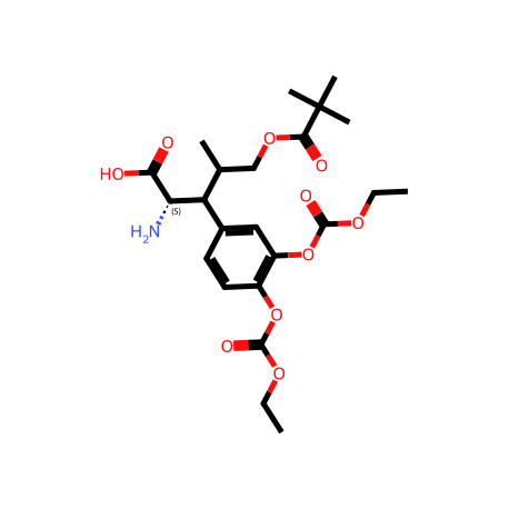 CCOC(=O)Oc1ccc(C(C(C)COC(=O)C(C)(C)C)[C@H](N)C(=O)O)cc1OC(=O)OCC